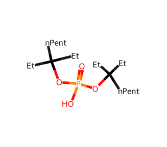 CCCCCC(CC)(CC)OP(=O)(O)OC(CC)(CC)CCCCC